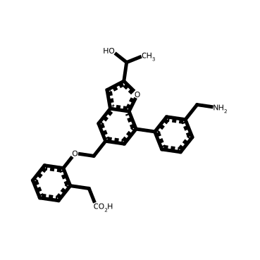 CC(O)c1cc2cc(COc3ccccc3CC(=O)O)cc(-c3cccc(CN)c3)c2o1